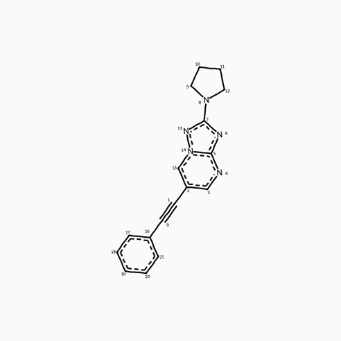 C(#Cc1cnc2nc(N3CCCC3)nn2c1)c1ccccc1